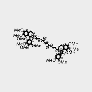 COc1ccc(CC2c3c(cc(OC)c(OC)c3OC)CC[N+]2(C)CCCOC(=O)/C=C/C(=O)OCCC[N+]2(C)CCc3cc(OC)c(OC)c(OC)c3C2c2cc(OC)c(OC)c(OC)c2)cc1OC